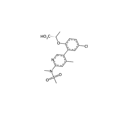 Cc1cc(N(C)S(C)(=O)=O)ncc1-c1cc(Cl)ccc1O[C@@H](C)C(=O)O